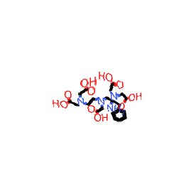 NC(Cc1ccccc1)(CN(CCN(CC(=O)O)CC(=O)O)CC(=O)O)N(CC(=O)O)CC(=O)O